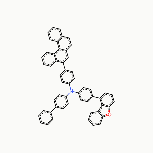 c1ccc(-c2ccc(N(c3ccc(-c4cc5ccc6ccccc6c5c5ccccc45)cc3)c3ccc(-c4cccc5oc6ccccc6c45)cc3)cc2)cc1